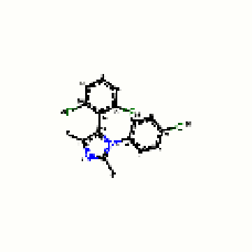 Cc1nc(C)n(-c2ccc(Cl)cc2)c1-c1c(F)cccc1F